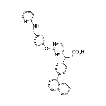 O=C(O)CC(c1ccc(-c2cccc3ccccc23)cc1)c1ccnc(Oc2ccc(CNc3ccccn3)cc2)n1